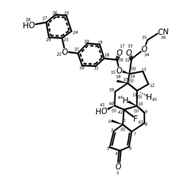 C[C@]12C=CC(=O)C=C1CC[C@H]1[C@@H]3CC[C@@](OC(=O)c4ccc(Oc5cccc(O)c5)cc4)(C(=O)OCC#N)[C@@]3(C)C[C@H](O)C12F